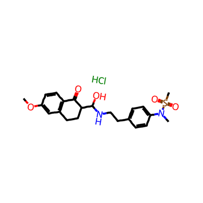 COc1ccc2c(c1)CCC(C(O)NCCc1ccc(N(C)S(C)(=O)=O)cc1)C2=O.Cl